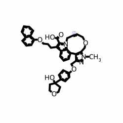 Cn1nc(COc2ccc(C3(O)CCOCC3)cc2)c2c1COC/C=C\Cn1c(C(=O)O)c(CCCOc3cccc4ccccc34)c3cccc-2c31